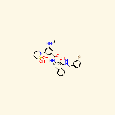 CCNc1cc(C(=O)N[C@@H](Cc2ccccc2)[C@H](O)CNCc2cccc(Br)c2)cc(N2CCCCS2(O)O)c1